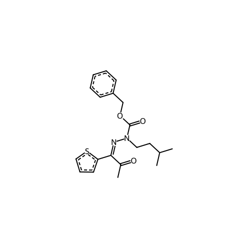 CC(=O)/C(=N\N(CCC(C)C)C(=O)OCc1ccccc1)c1cccs1